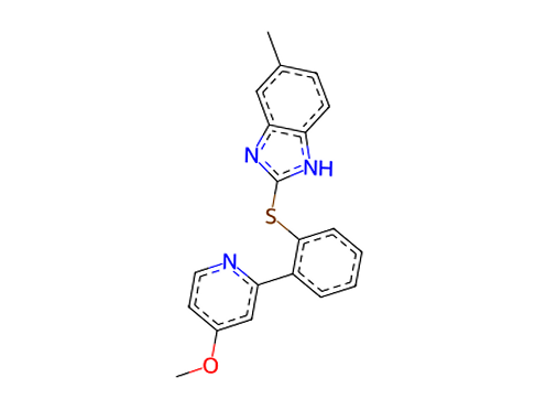 COc1ccnc(-c2ccccc2Sc2nc3cc(C)ccc3[nH]2)c1